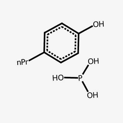 CCCc1ccc(O)cc1.OP(O)O